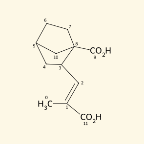 CC(=CC1CC2CCC1(C(=O)O)C2)C(=O)O